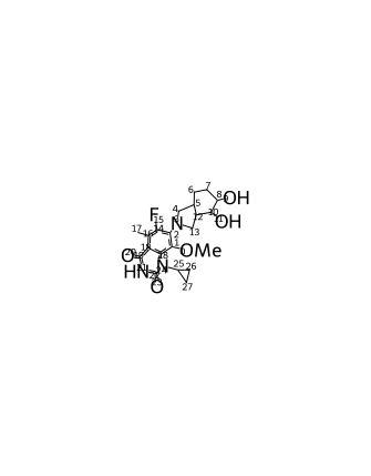 COc1c(N2CC3CCC(O)C(O)C3C2)c(F)c(C)c2c(=O)[nH]c(=O)n(C3CC3)c12